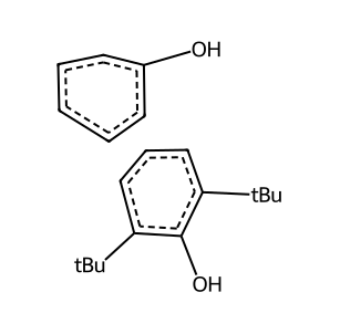 CC(C)(C)c1cccc(C(C)(C)C)c1O.Oc1ccccc1